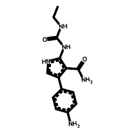 CCNC(=O)Nc1[nH]cc(-c2ccc(N)cc2)c1C(N)=O